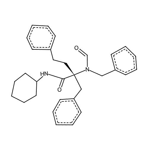 O=CN(Cc1ccccc1)[C@](CCc1ccccc1)(Cc1ccccc1)C(=O)NC1CCCCC1